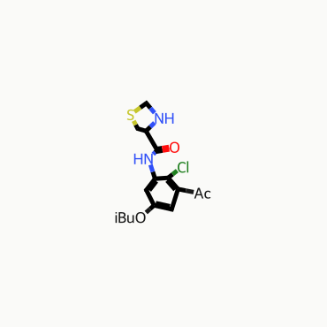 CC(=O)c1cc(OCC(C)C)cc(NC(=O)C2CSCN2)c1Cl